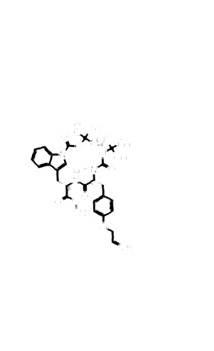 C=CCOc1ccc(C[C@H](NC(=O)OC(C)(C)C)C(=O)N[C@H](Cc2cn(C(=O)OC(C)(C)C)c3ccccc23)C(=O)OC)cc1